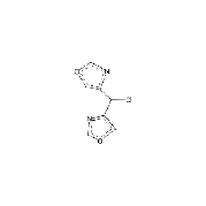 ClC(c1cocn1)c1cocn1